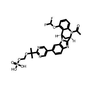 CC(=O)N1c2cccc(OC(F)F)c2[C@H]2C[C@@H]1c1nc3ccc(-c4cnc(C(C)(C)OCOP(=O)(O)O)nc4)cc3n12